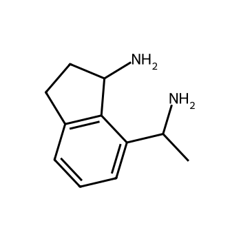 CC(N)c1cccc2c1C(N)CC2